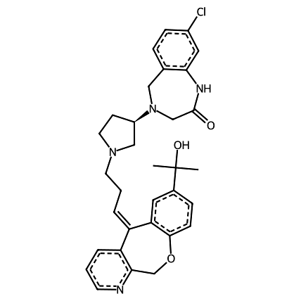 CC(C)(O)c1ccc2c(c1)/C(=C\CCN1CC[C@@H](N3CC(=O)Nc4cc(Cl)ccc4C3)C1)c1cccnc1CO2